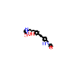 O=c1ccnc(CCCc2ccc(C#Cc3ccc(CN[C@H]4CCOC4)cc3)cc2)n1O